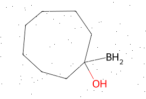 BC1(O)CCCCCCC1